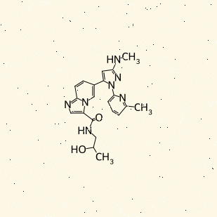 CNc1cc(-c2ccc3ncc(C(=O)NCC(C)O)n3c2)n(-c2cccc(C)n2)n1